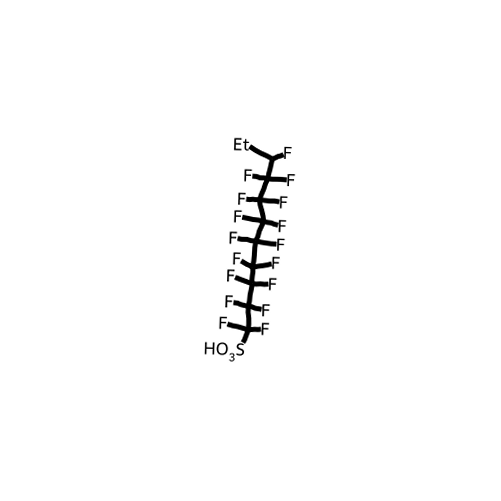 CCC(F)C(F)(F)C(F)(F)C(F)(F)C(F)(F)C(F)(F)C(F)(F)C(F)(F)C(F)(F)S(=O)(=O)O